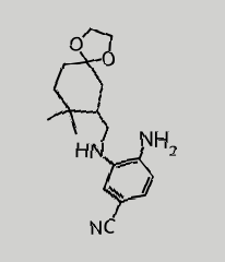 CC1(C)CCC2(CC1CNc1cc(C#N)ccc1N)OCCO2